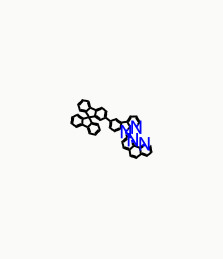 c1ccc2c(c1)-c1ccccc1C21c2ccccc2-c2ccc(-c3ccc4c(c3)c3cccnc3n4-c3ccc4ccc5cccnc5c4n3)cc21